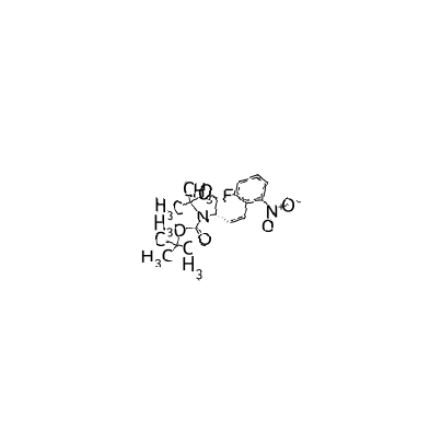 CC(C)(C)OC(=O)N1[C@@H](/C=C\c2c(F)cccc2[N+](=O)[O-])COC1(C)C